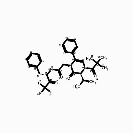 CC(C)[C@H]1C(=O)N(CC(=O)N[C@@H](Cc2ccccc2)C(=O)C(F)(F)F)C(c2ccccc2)=CN1C(=O)C(C)(C)C